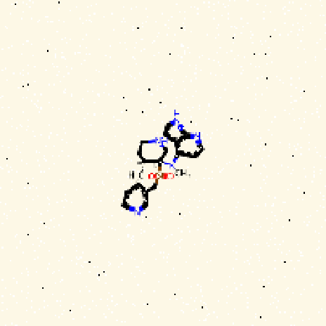 C[C@@H]1CCNC[C@]1(N(C)c1ccnc2[nH]ccc12)S(=O)(=O)Cc1cccnc1